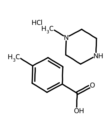 CN1CCNCC1.Cc1ccc(C(=O)O)cc1.Cl